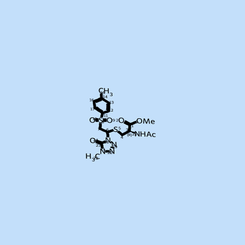 COC(=O)[C@H](CSC(CS(=O)(=O)c1ccc(C)cc1)n1nnn(C)c1=O)NC(C)=O